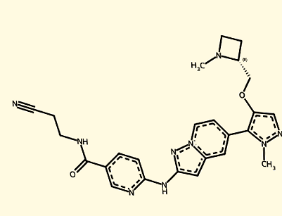 CN1CC[C@@H]1COc1cnn(C)c1-c1ccn2nc(Nc3ccc(C(=O)NCCC#N)cn3)cc2c1